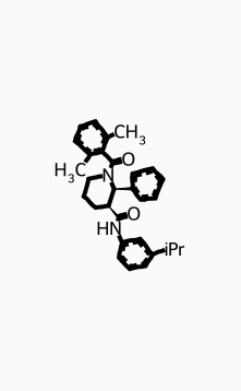 Cc1cccc(C)c1C(=O)N1CCC[C@H](C(=O)Nc2cccc(C(C)C)c2)[C@@H]1c1ccccc1